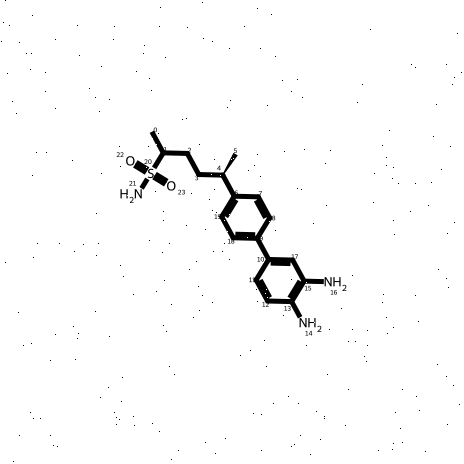 CC(CC[C@@H](C)c1ccc(-c2ccc(N)c(N)c2)cc1)S(N)(=O)=O